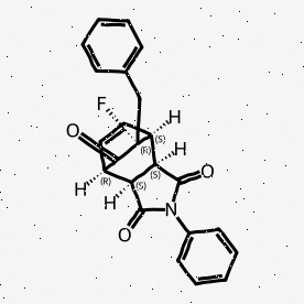 O=C1[C@@H]2[C@H](C(=O)N1c1ccccc1)[C@@H]1C=C[C@H]2C(=O)[C@@]1(F)Cc1ccccc1